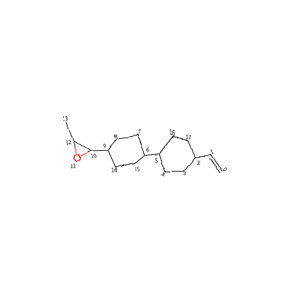 C=CC1CCC(C2CCC(C3OC3C)CC2)CC1